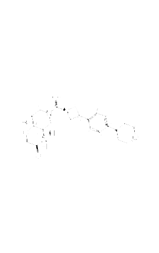 O=C1CO[C@H]2CCN(C(=O)N3CC(c4ccc(C5CCOCC5)cc4)C3)C[C@H]2N1